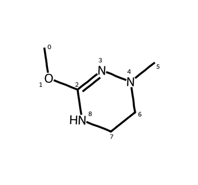 COC1=NN(C)CCN1